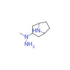 CN(N)C1CC2CCC(C1)N2